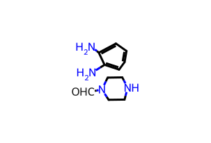 Nc1ccccc1N.O=CN1CCNCC1